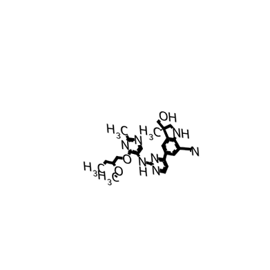 CCC(COc1nc(C)ncc1Nc1nccc(-c2cc(C#N)c3c(c2)[C@@](C)(CO)CN3)n1)OC